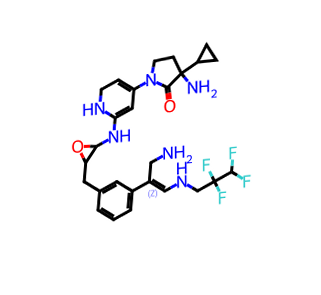 NC/C(=C\NCC(F)(F)C(F)F)c1cccc(CC2OC2NC2=CC(N3CCC(N)(C4CC4)C3=O)=CCN2)c1